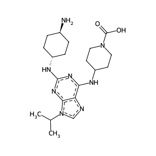 CC(C)n1cnc2c(NC3CCN(C(=O)O)CC3)nc(N[C@H]3CC[C@H](N)CC3)nc21